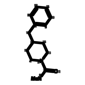 CNC(=O)N1CCC(Cc2ccccc2)CC1